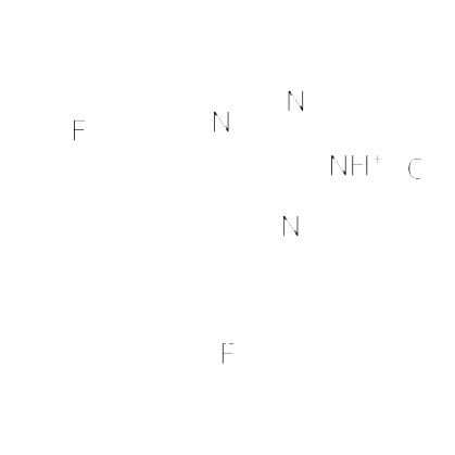 [CH2-][NH+]1N=NC(c2c(F)cccc2F)=N1